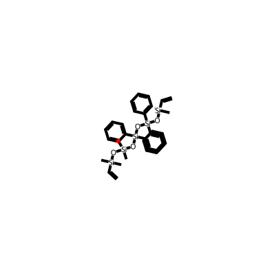 C=C[Si](C)(C)O[Si](C)(C)O[Si](O[Si](O[Si](C)(C)C=C)(c1ccccc1)c1ccccc1)(c1ccccc1)c1ccccc1